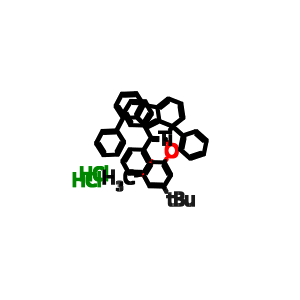 Cc1cc([O][Ti](=[C](c2ccccc2)c2ccccc2)[C]2(c3ccccc3)C=CC=C3C2=Cc2c3cccc2-c2ccccc2)cc(C(C)(C)C)c1.Cl.Cl